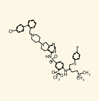 CN(C)CC[C@H](CSc1ccc(F)cc1)Nc1ccc(S(=O)(=O)Nc2ncnc3c2CCN(C2CCN(Cc4ccccc4-c4ccc(Cl)cc4)CC2)C3)cc1S(=O)(=O)C(F)(F)F